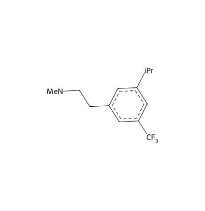 CNCCc1cc(C(C)C)cc(C(F)(F)F)c1